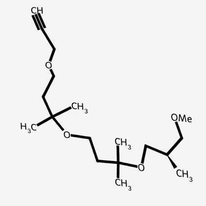 C#CCOCCC(C)(C)OCCC(C)(C)OC[C@H](C)COC